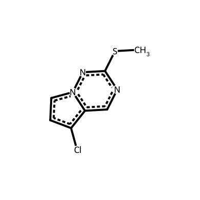 CSc1ncc2c(Cl)ccn2n1